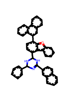 c1ccc(C2N=C(c3ccc4ccccc4c3)NC(c3ccc(-c4cc5ccccc5c5ccccc45)c4oc5ccccc5c34)N2)cc1